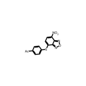 CC(=O)c1ccc(Sc2ccc([N+](=O)[O-])c3nonc23)cc1